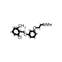 CNCCOc1cccc(OCc2c(C)cccc2Cl)c1